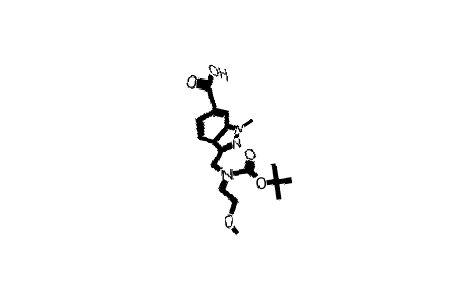 COCCN(Cc1nn(C)c2cc(C(=O)O)ccc12)C(=O)OC(C)(C)C